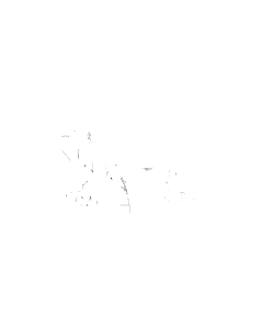 COC(C(=O)Nc1cccc2occc12)C(=O)N[C@H]1C=C[C@@H](C(=O)OC(C)C)C1